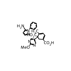 COc1ncc(C2(C(=O)O)CC(C(=O)O)=CC=C2C)cn1.Nc1ccnn1-c1ccccc1